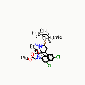 C=C(CC)[C@H]1NC(=S)C[C@@H](c2cccc(Cl)c2)[C@]12C(=O)N(CC(=O)OC(C)(C)C)c1cc(Cl)ccc12.COCC[Si](C)(C)C